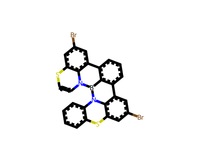 Brc1cc2c3c(c1)-c1cccc4c1B(N3c1ccccc1S2)N1c2ccccc2Sc2cc(Br)cc-4c21